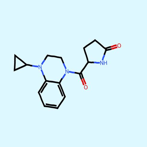 O=C1CCC(C(=O)N2CCN(C3CC3)c3ccccc32)N1